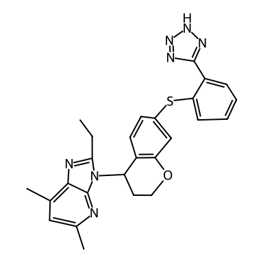 CCc1nc2c(C)cc(C)nc2n1C1CCOc2cc(Sc3ccccc3-c3nn[nH]n3)ccc21